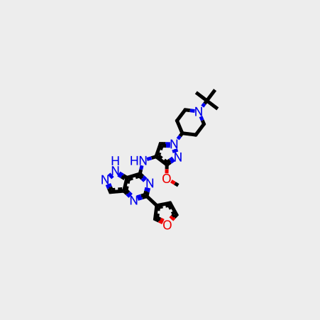 COc1nn(C2CCN(C(C)(C)C)CC2)cc1Nc1nc(-c2ccoc2)nc2cn[nH]c12